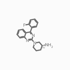 N[C@H]1CCCN(c2nc(-c3ccccc3F)c3ccccc3n2)C1